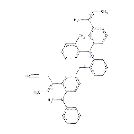 C#CC/C(=C\C)c1cc(/C=c2\cccc\c2=C(/c2cccc(/C(C)=C\C)c2)c2ccccc2C)ccc1N(C)c1ccccc1